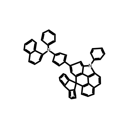 c1ccc(N(c2ccc(-c3cc4c5c6c7c(cccc7ccc6n(-c6ccccc6)c5c3)C43c4ccccc4-c4ccccc43)cc2)c2cccc3ccccc23)cc1